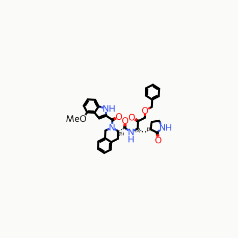 COc1cccc2[nH]c(C(=O)N3Cc4ccccc4C[C@H]3C(=O)N[C@@H](C[C@@H]3CCNC3=O)C(=O)COCc3ccccc3)cc12